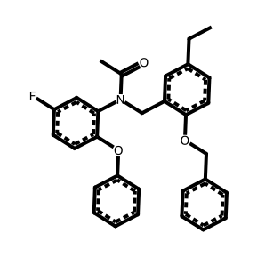 CCc1ccc(OCc2ccccc2)c(CN(C(C)=O)c2cc(F)ccc2Oc2ccccc2)c1